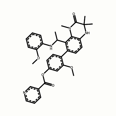 COc1ccccc1NC(C)c1c(-c2ccc(OC(=O)c3cccnc3)cc2OC)ccc2c1N(C)C(=O)C(C)(C)N2